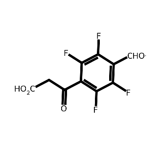 O=[C]c1c(F)c(F)c(C(=O)CC(=O)O)c(F)c1F